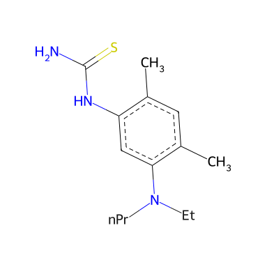 CCCN(CC)c1cc(NC(N)=S)c(C)cc1C